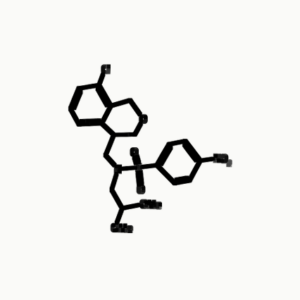 COC(CN(CC1COCc2c(Cl)cccc21)S(=O)(=O)c1ccc([N+](=O)[O-])cc1)OC